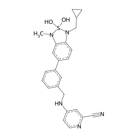 CN1c2cc(-c3cccc(CNc4ccnc(C#N)c4)c3)ccc2N(CC2CC2)S1(O)O